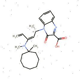 C=C/C(=C\[C@H](C)n1c(=O)c(C(=O)O)nc2ccccc21)N(C)C1(C)CCCCCCC1